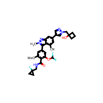 COc1cc(-c2c3c(C#N)cc(-c4cnn(CC5(O)CCC5)c4)cc3nn2C)cc(OC(F)F)c1C(=O)NCC1(F)CC1